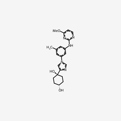 COc1ccnc(Nc2cc(C)cc(-n3cnc([C@]4(O)CC[C@H](O)CC4)c3)c2)n1